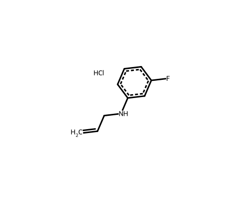 C=CCNc1cccc(F)c1.Cl